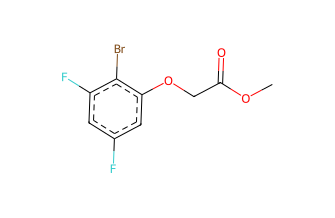 COC(=O)COc1cc(F)cc(F)c1Br